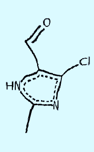 Cc1nc(Cl)c(C=O)[nH]1